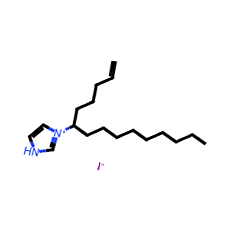 C=CCCCC(CCCCCCCCC)[n+]1cc[nH]c1.[I-]